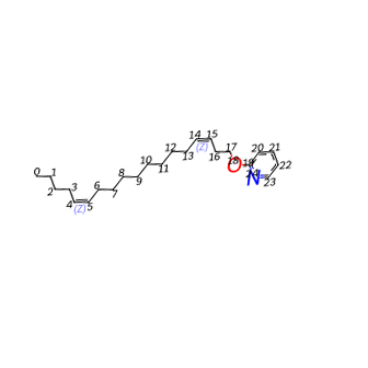 CCCC/C=C\CCCCCCCC/C=C\CCOc1ccccn1